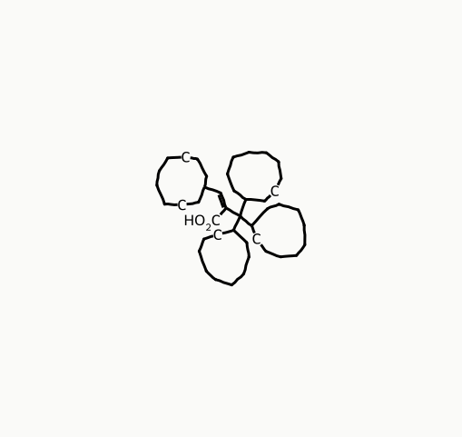 O=C(O)C(=CC1CCCCCCCCC1)C(C1CCCCCCCCC1)(C1CCCCCCCCC1)C1CCCCCCCCC1